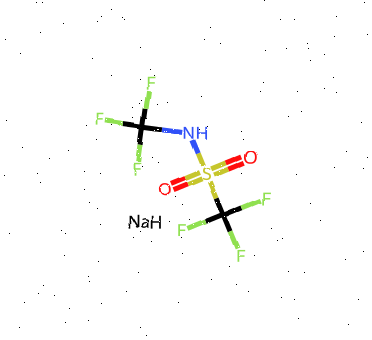 O=S(=O)(NC(F)(F)F)C(F)(F)F.[NaH]